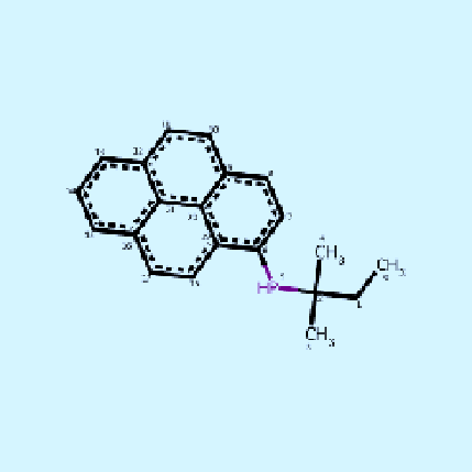 CCC(C)(C)Pc1ccc2ccc3cccc4ccc1c2c34